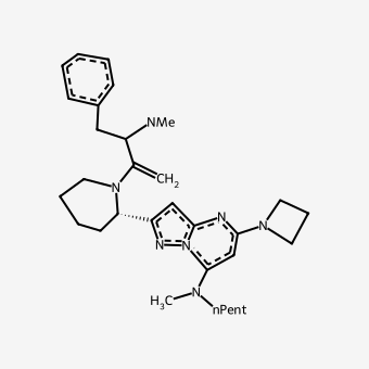 C=C(C(Cc1ccccc1)NC)N1CCCC[C@H]1c1cc2nc(N3CCC3)cc(N(C)CCCCC)n2n1